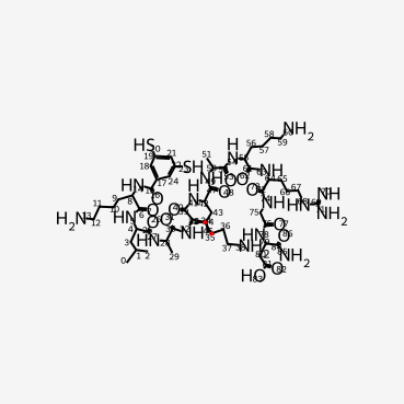 CC(C)CC(NC(=O)C(CCCCN)NC(=O)c1cc(S)cc(S)c1)C(=O)NC(C)C(=O)NC(CCCCN)C(=O)NC(CC(C)C)C(=O)NC(C)C(=O)NC(CCCCN)C(=O)NC(CCCNC(=N)N)C(=O)NCC(=O)NC(CC(=O)O)C(N)=O